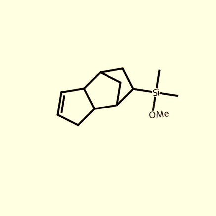 CO[Si](C)(C)C1CC2CC1C1CC=CC21